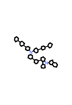 c1ccc(-c2ccc(-c3ccc(N(c4ccc(-c5ccc(-c6ccccc6)cc5)cc4)c4cccc(-c5cccc(-c6cccc7c6c6ccccc6n7-c6ccc7ccccc7c6)c5)c4)cc3)cc2)cc1